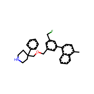 Cc1ccc(-c2cc(CF)cc(COCC3(c4ccccc4)CCNCC3)c2)c2ccccc12